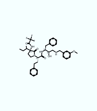 CCC(C)[C@@]1(NC(=O)C(F)(F)F)CCN([C@@H](CCc2ccccc2)C(=O)N[C@@H](Cc2ccccc2)[C@H](O)CNCc2cccc(OC)c2)C1=O